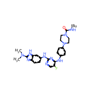 CN(C)c1nc2ccc(Nc3ncc(F)c(Nc4ccc(N5CCN(C(=O)NC(C)(C)C)CC5)cc4)n3)cc2[nH]1